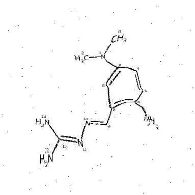 CN(C)c1ccc(N)c(C=NN=C(N)N)c1